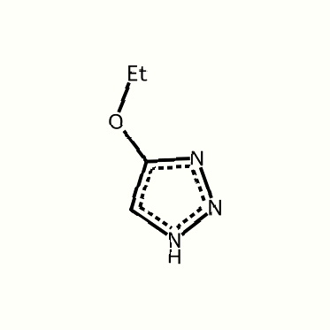 [CH2]COc1c[nH]nn1